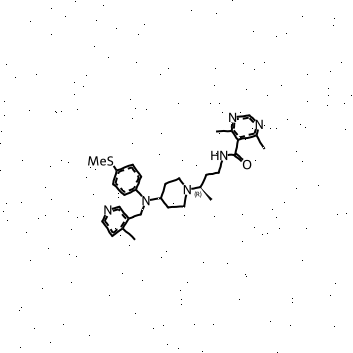 CSc1ccc(N(Cc2cnccc2C)C2CCN([C@H](C)CCNC(=O)c3c(C)ncnc3C)CC2)cc1